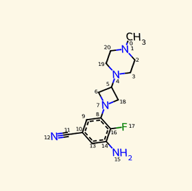 CN1CCN(C2CN(c3cc(C#N)cc(N)c3F)C2)CC1